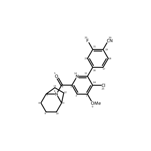 COc1cc(C(=O)N2C3CCCC2CC3)nc(-c2ccc(C#N)c(F)c2)c1Cl